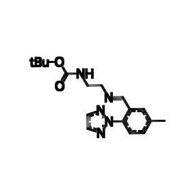 Cc1ccc(-n2nccn2)c(/C=N/CCNC(=O)OC(C)(C)C)c1